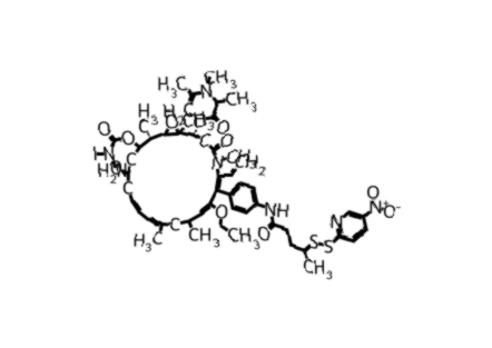 C=C/C1=C(c2ccc(NC(=O)CCC(C)SSc3ccc([N+](=O)[O-])cn3)cc2)/C(OCC)=C\C(C)C/C(C)=C\C=C/C[C@]2(N)CC(OC(=O)N(I)O2)[C@H](C)C2OC2(C)[C@H](OC(=O)C(C)N(C)C(=C)C)CC(=O)N1C